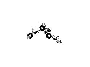 Cc1cc(NS(=O)(=O)c2cccc(OCC(N)=O)c2)cc(OCCNc2ccncc2)c1